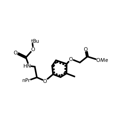 CCCC(CNC(=O)OC(C)(C)C)Oc1ccc(OCC(=O)OC)c(C)c1